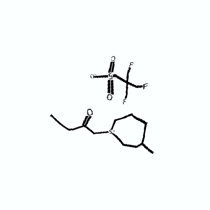 CCC(=O)C[S+]1CCCC(C)C1.O=S(=O)([O-])C(F)(F)F